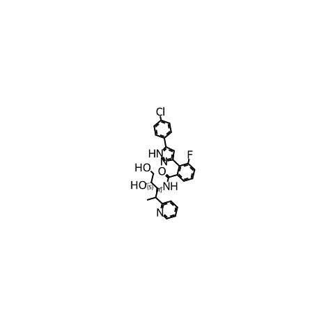 CC(c1ccccn1)[C@@H](NC(=O)c1cccc(F)c1-c1cc(-c2ccc(Cl)cc2)[nH]n1)[C@H](O)CO